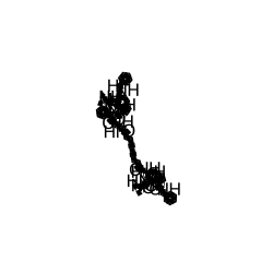 CC[C@H](NC)C(=O)N[C@@H]1C(=O)N2[C@@H](CC[C@@H]1CNC(=O)CCC#CC#CCCC(=O)NCCNC(=O)[C@@H](NC(=O)[C@@H]1CC[C@@H]3CC[C@H](CNCc4ccccc4)[C@H](NC(=O)[C@H](CC)NC)C(=O)N31)c1ccccc1)CC[C@H]2C(=O)NCc1ccccc1